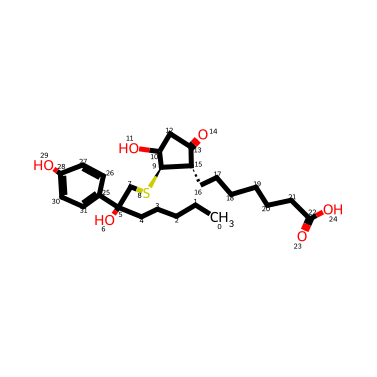 CCCCCC(O)(CS[C@H]1C(O)CC(=O)[C@@H]1CCCCCCC(=O)O)c1ccc(O)cc1